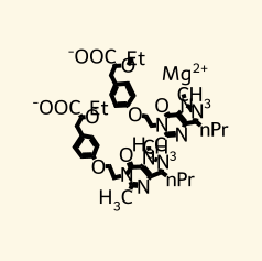 CCCc1nn(C)c2c(=O)n(CCOc3ccc(CC(OCC)C(=O)[O-])cc3)c(C)nc12.CCCc1nn(C)c2c(=O)n(CCOc3ccc(CC(OCC)C(=O)[O-])cc3)c(C)nc12.[Mg+2]